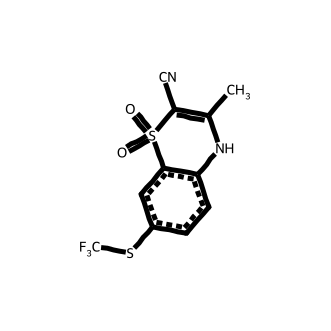 CC1=C(C#N)S(=O)(=O)c2cc(SC(F)(F)F)ccc2N1